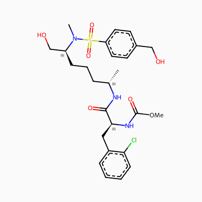 COC(=O)N[C@@H](Cc1ccccc1Cl)C(=O)N[C@@H](C)CCC[C@@H](CO)N(C)S(=O)(=O)c1ccc(CO)cc1